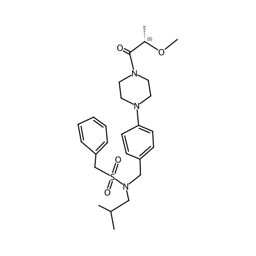 CO[C@@H](C)C(=O)N1CCN(c2ccc(CN(CC(C)C)S(=O)(=O)Cc3ccccc3)cc2)CC1